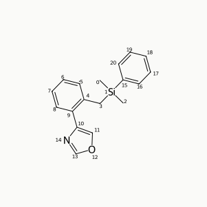 C[Si](C)(Cc1[c]cccc1-c1cocn1)c1ccccc1